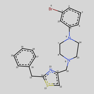 Brc1cccc(N2CCN(Cc3csc(Cc4ccccc4)n3)CC2)c1